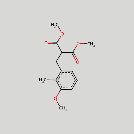 COC(=O)C(Cc1cccc(OC)c1C)C(=O)OC